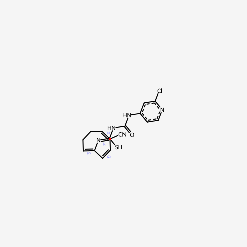 N#CC1=C/CC/C=C(\N=C(/S)NC(=O)Nc2ccnc(Cl)c2)/C=C\1